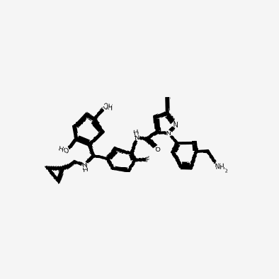 Cc1cc(C(=O)Nc2cc(C(NCC3CC3)c3cc(O)ccc3O)ccc2F)n(-c2cccc(CN)c2)n1